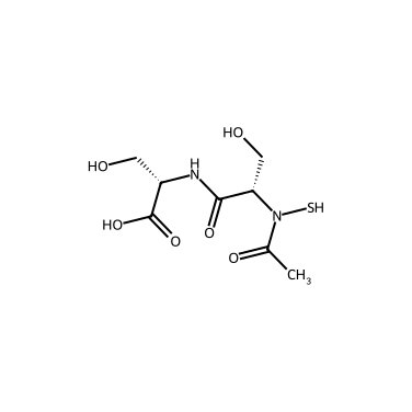 CC(=O)N(S)[C@@H](CO)C(=O)N[C@@H](CO)C(=O)O